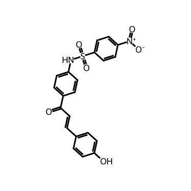 O=C(C=Cc1ccc(O)cc1)c1ccc(NS(=O)(=O)c2ccc([N+](=O)[O-])cc2)cc1